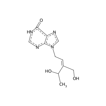 CC(O)/C(=C\Cn1cnc2c(=O)[nH]cnc21)CO